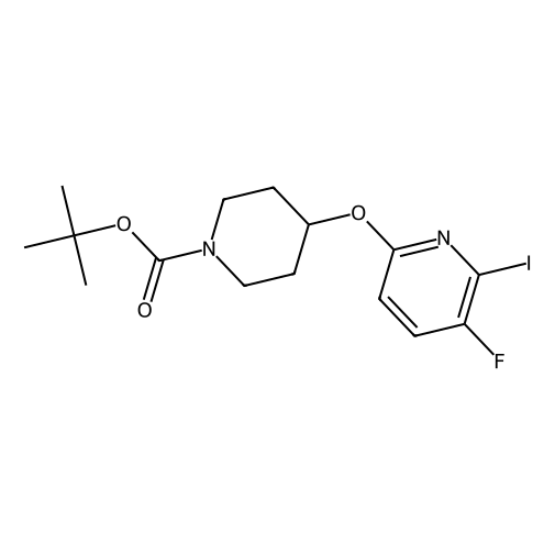 CC(C)(C)OC(=O)N1CCC(Oc2ccc(F)c(I)n2)CC1